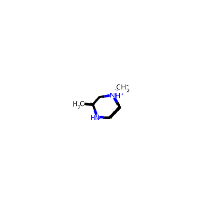 [CH2-][NH+]1CCNC(C)C1